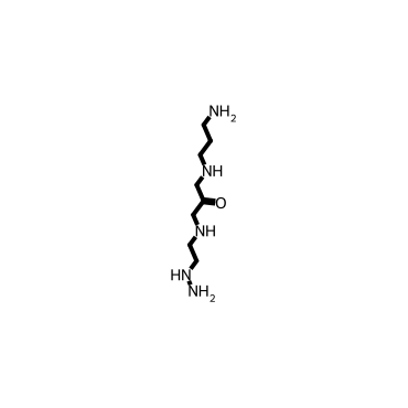 NCCCNCC(=O)CNCCNN